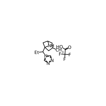 CCC(n1cnnc1)C12CC(C)CC(C1)N2.O=C(O)C(F)(F)F